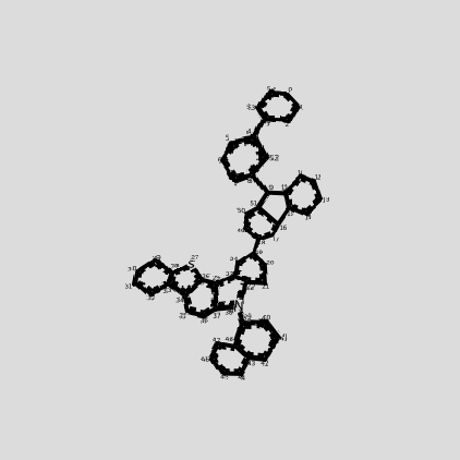 c1ccc(-c2cccc(C3c4ccccc4-c4cc(-c5ccc6c(c5)c5c7sc8ccccc8c7ccc5n6-c5cccc6ccccc56)ccc43)c2)cc1